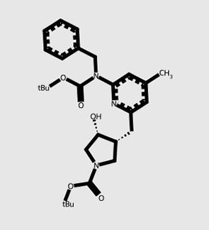 Cc1cc(C[C@@H]2CN(C(=O)OC(C)(C)C)C[C@@H]2O)nc(N(Cc2ccccc2)C(=O)OC(C)(C)C)c1